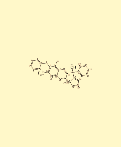 Cc1c(Cc2ccccc2)c(C(F)(F)F)nc2ccc(C(O)(c3ccccn3)c3cncn3C)cc12